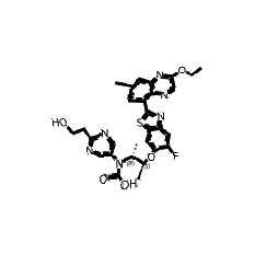 CCOc1cnc2c(-c3nc4cc(F)c(O[C@@H](C)[C@@H](C)N(C(=O)O)c5cnc(CCO)nc5)cc4s3)cc(C)cc2n1